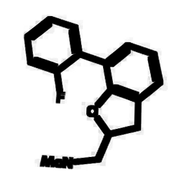 CNCC1Cc2cccc(-c3ccccc3F)c2O1